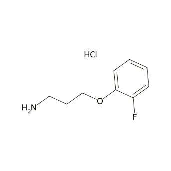 Cl.NCCCOc1ccccc1F